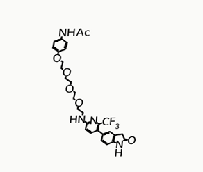 CC(=O)Nc1ccc(OCCOCCOCCOCCNc2ccc(-c3ccc4c(c3)CC(=O)N4)c(C(F)(F)F)n2)cc1